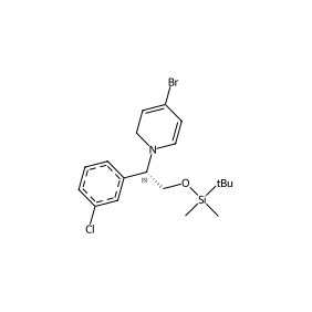 CC(C)(C)[Si](C)(C)OC[C@H](c1cccc(Cl)c1)N1C=CC(Br)=CC1